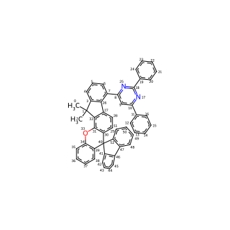 CC1(C)c2cccc(-c3cc(-c4ccccc4)nc(-c4ccccc4)n3)c2-c2ccc3c(c21)Oc1ccccc1C31c2ccccc2-c2ccccc21